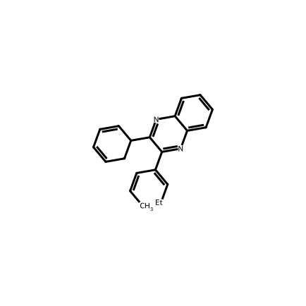 C/C=C\C(=C/CC)c1nc2ccccc2nc1C1C=CC=CC1